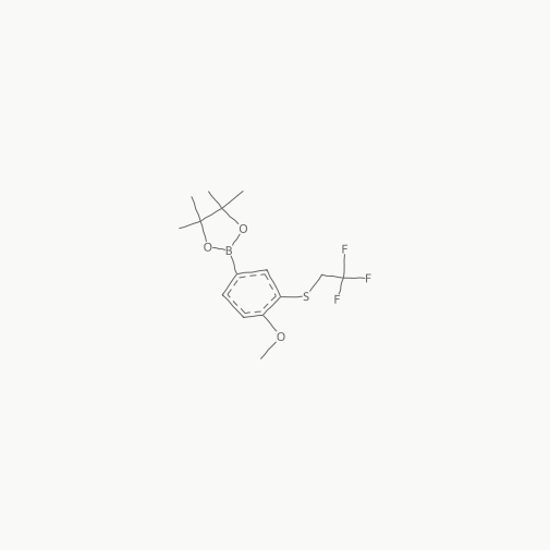 COc1ccc(B2OC(C)(C)C(C)(C)O2)cc1SCC(F)(F)F